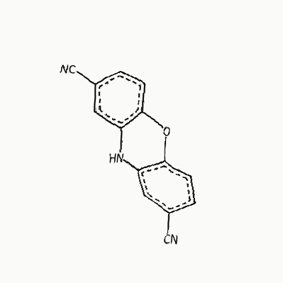 N#Cc1ccc2c(c1)Nc1cc(C#N)ccc1O2